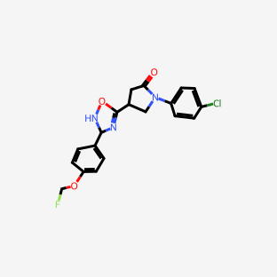 O=C1CC(C2=NC(c3ccc(OCF)cc3)NO2)CN1c1ccc(Cl)cc1